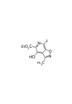 CCOC(=O)c1nc(I)c2onc(C)c2c1O